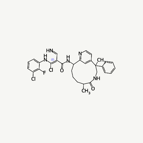 CC1CCCC(NC(=O)/C(C=N)=C(\Cl)Nc2cccc(Cl)c2F)c2cc(ccn2)C(C)(c2ccccc2)CNC1=O